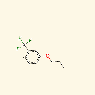 CCCOc1cc[c]c(C(F)(F)F)c1